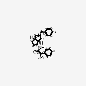 CC(C)C(C(=O)N[C@@H]1CC[C@@H]2CN(Cc3ccccc3)C[C@@H]21)c1ccccc1